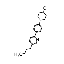 CCCCc1ccc(-c2ccc([C@H]3CC[C@H](O)CC3)cc2)nc1